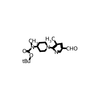 Cc1cc(C=O)cnc1N1CCC(N(C)C(=O)OC(C)(C)C)CC1